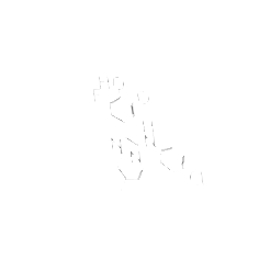 COc1cc(-c2nc3cc(C)ccn3c2Nc2ccc(Cl)cc2)cc(F)c1O